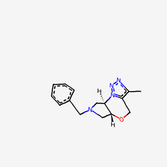 Cc1nnn2c1CO[C@@H]1CN(Cc3ccccc3)C[C@H]12